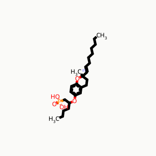 CCCCCCC/C=C/C1(C)CCc2cc(OC(CCCC)CP(=O)(O)O)ccc2O1